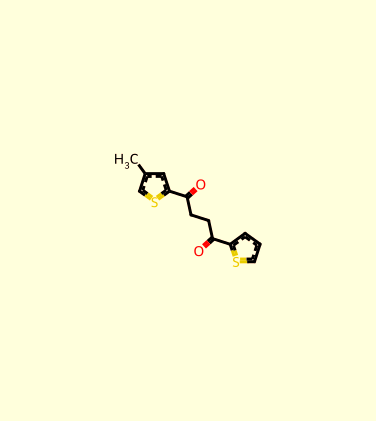 Cc1csc(C(=O)CCC(=O)c2cccs2)c1